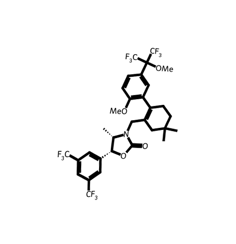 COc1ccc(C(OC)(C(F)(F)F)C(F)(F)F)cc1C1=C(CN2C(=O)O[C@H](c3cc(C(F)(F)F)cc(C(F)(F)F)c3)[C@@H]2C)CC(C)(C)CC1